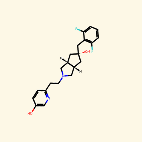 Oc1ccc(CCN2C[C@@H]3C[C@@](O)(Cc4c(F)cccc4F)C[C@@H]3C2)nc1